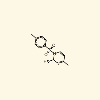 CC1=NC(S)N(S(=O)(=O)c2ccc(C)cc2)C=C1